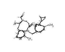 Cc1ccc(CN2C(=O)CC(C=O)=C(Br)c3cccc(C)c32)cc1C1CC1